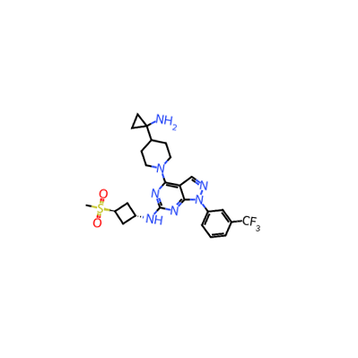 CS(=O)(=O)[C@H]1C[C@H](Nc2nc(N3CCC(C4(N)CC4)CC3)c3cnn(-c4cccc(C(F)(F)F)c4)c3n2)C1